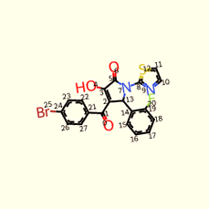 O=C(C1=C(O)C(=O)N(c2nccs2)C1c1ccccc1F)c1ccc(Br)cc1